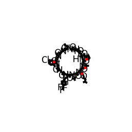 CC[C@H](C)[C@@H]1NC(=O)[C@H](C)N(C)C(=O)C[C@@H](C(=O)N2CCCC2)NC(=O)[C@H](CC(C)C)N(C)C(=O)[C@H](CCOCCC(C)C)N(C)C(=O)[C@H](CC(C)C)NC(=O)[C@H](CCc2ccc(C(F)(F)F)cc2)NC(=O)CN(C)C(=O)[C@H](Cc2ccc(Cl)cc2)N(C)C(=O)CN(C)C(=O)CN(C)C1=O